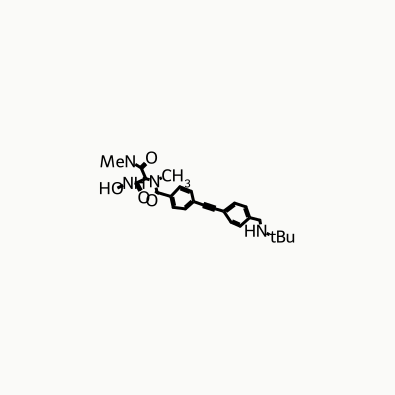 CNC(=O)C(C(=O)NO)N(C)C(=O)c1ccc(C#Cc2ccc(CNC(C)(C)C)cc2)cc1